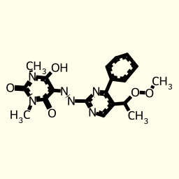 COOC(C)c1cnc(N=Nc2c(O)n(C)c(=O)n(C)c2=O)nc1-c1ccccc1